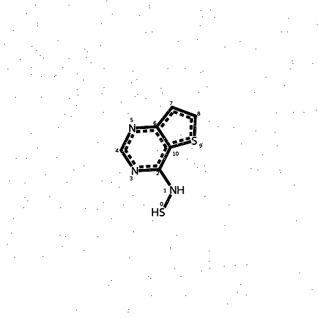 SNc1ncnc2ccsc12